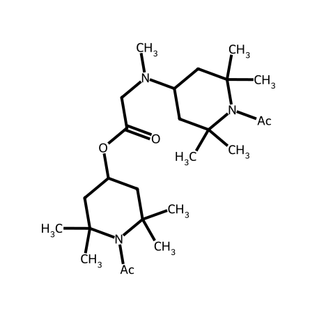 CC(=O)N1C(C)(C)CC(OC(=O)CN(C)C2CC(C)(C)N(C(C)=O)C(C)(C)C2)CC1(C)C